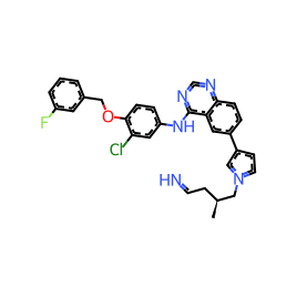 C[C@@H](CC=N)Cn1ccc(-c2ccc3ncnc(Nc4ccc(OCc5cccc(F)c5)c(Cl)c4)c3c2)c1